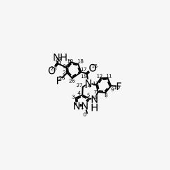 Cn1ncc2c1Nc1cc(F)ccc1N(C(=O)c1ccc(C(N)=O)c(F)c1)C2